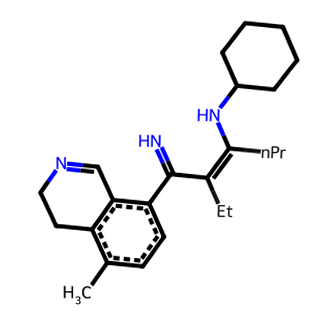 CCC/C(NC1CCCCC1)=C(\CC)C(=N)c1ccc(C)c2c1C=NCC2